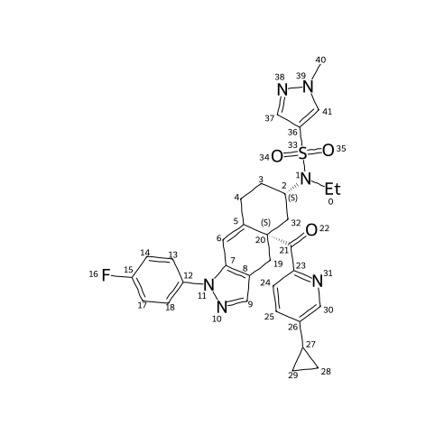 CCN([C@H]1CCC2=Cc3c(cnn3-c3ccc(F)cc3)C[C@]2(C(=O)c2ccc(C3CC3)cn2)C1)S(=O)(=O)c1cnn(C)c1